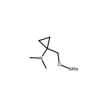 CNOCC1(N(C)C)CC1